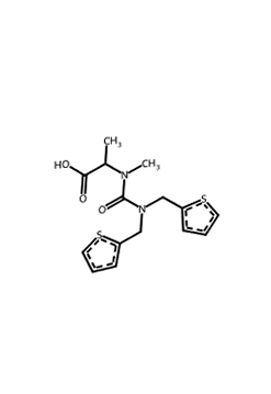 CC(C(=O)O)N(C)C(=O)N(Cc1cccs1)Cc1cccs1